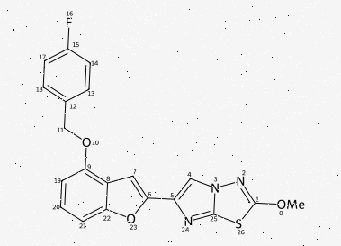 COc1nn2cc(-c3cc4c(OCc5ccc(F)cc5)cccc4o3)nc2s1